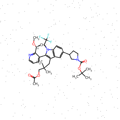 CO[C@@H](C)c1ncccc1-c1c(CC(C)(C)COC(C)=O)c2cc(C3CCN(C(=O)OC(C)(C)C)C3)ccc2n1CC(F)(F)F